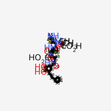 CC(C)(O/N=C(\C(=O)NC1C(=O)N2C(OC(=O)O)=C(CNC(=O)c3cc(O)c(O)c(CC=Cc4ccccc4)c3)CS[C@@H]12)c1csc(N)n1)C(=O)O